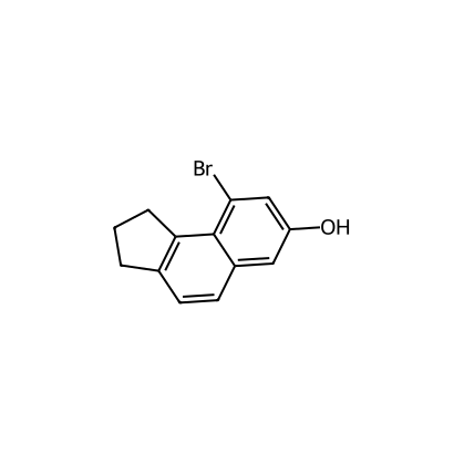 Oc1cc(Br)c2c3c(ccc2c1)CCC3